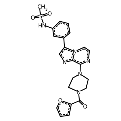 CS(=O)(=O)Nc1cccc(-c2cnc3c(N4CCN(C(=O)c5ccco5)CC4)nccn23)c1